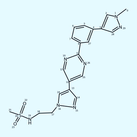 Cn1cc(-c2cccc(-c3ncc(-c4cnn(CCNS(C)(=O)=O)c4)cn3)c2)cn1